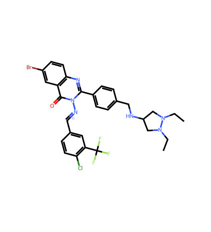 CCN1CC(NCc2ccc(-c3nc4ccc(Br)cc4c(=O)n3/N=C/c3ccc(Cl)c(C(F)(F)F)c3)cc2)CN1CC